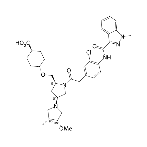 CO[C@H]1CN([C@H]2C[C@@H](CO[C@H]3CC[C@H](C(=O)O)CC3)N(C(=O)Cc3ccc(NC(=O)c4nn(C)c5ccccc45)c(Cl)c3)C2)C[C@H]1C